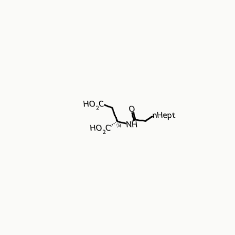 CCCCCCCCC(=O)N[C@@H](CC(=O)O)C(=O)O